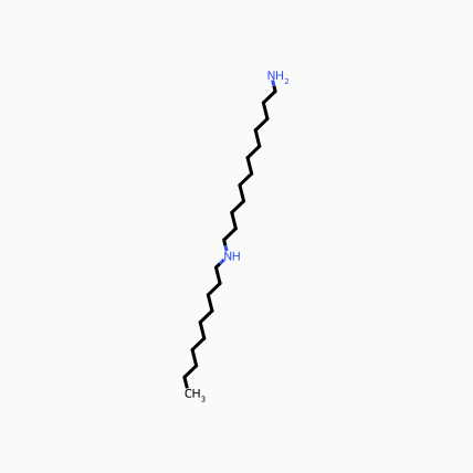 CCCCCCCCCCNCCCCCCCCCCCCN